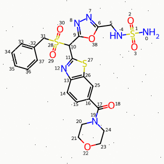 NS(=O)(=O)NCc1nnc(C(c2nc3ccc(C(=O)N4CCOCC4)cc3s2)S(=O)(=O)Cc2ccccc2)o1